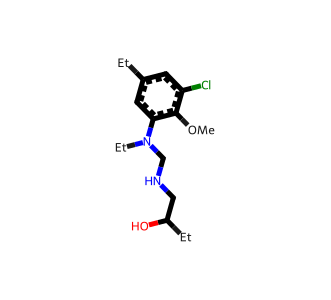 CCc1cc(Cl)c(OC)c(N(CC)CNCC(O)CC)c1